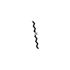 [CH2]CCCC=NCCCCCC